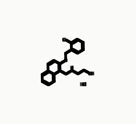 Cl.OCCNCc1c(OCc2ccccc2Cl)ccc2ccccc12